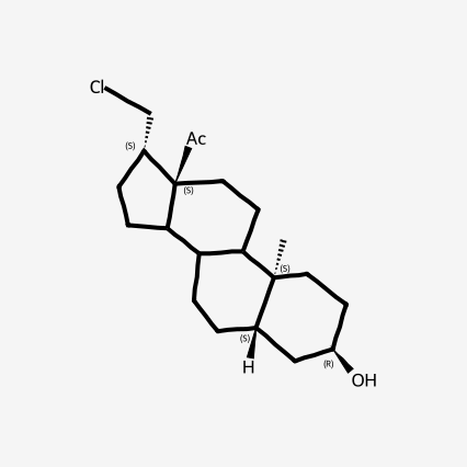 CC(=O)[C@@]12CCC3C(CC[C@H]4C[C@H](O)CC[C@]34C)C1CC[C@@H]2CCl